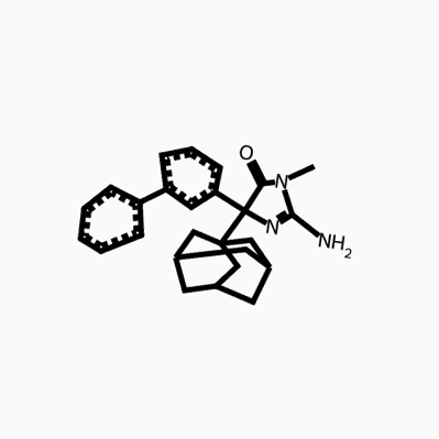 CN1C(=O)C(c2cccc(-c3ccccc3)c2)(C23CC4CC(CC(C4)C2)C3)N=C1N